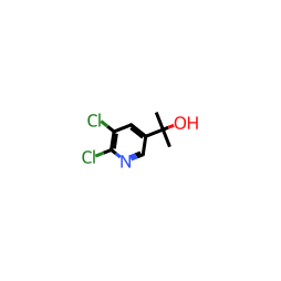 CC(C)(O)c1cnc(Cl)c(Cl)c1